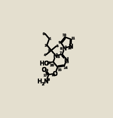 CCCC(C)(C)N1C(n2cccn2)=NC=C(OC(N)=O)C1O